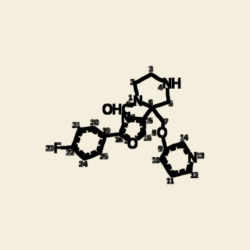 O=CN1CCNCC1(COc1cccnc1)c1coc(-c2ccc(F)cc2)n1